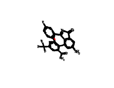 NC(=O)c1cc(C(F)(F)F)cc(F)c1-c1cc(N)cc2c1C(c1cc(F)ccc1Cl)=NC2=O